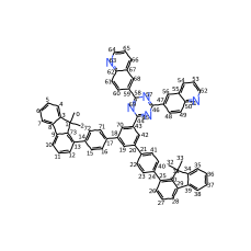 CC1(C)c2ccccc2-c2cccc(-c3ccc(-c4cc(-c5ccc(-c6cccc7c6C(C)(C)c6ccccc6-7)cc5)cc(-c5nc(-c6ccc7ncccc7c6)nc(-c6ccc7ncccc7c6)n5)c4)cc3)c21